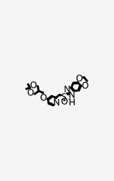 CC1(C)OCC(COc2ccnc(C[S+]([O-])c3nc4cc5c(cc4[nH]3)OCCO5)c2)CO1